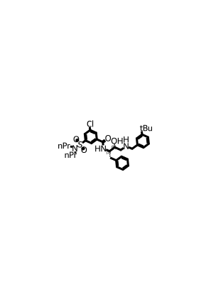 CCCN(CCC)S(=O)(=O)c1cc(Cl)cc(C(=O)N[C@@H](Cc2ccccc2)[C@H](O)CNCc2cccc(C(C)(C)C)c2)c1